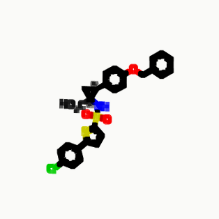 O=C(O)[C@@]1(NS(=O)(=O)c2ccc(-c3ccc(Cl)cc3)s2)C[C@H]1c1ccc(OCc2ccccc2)cc1